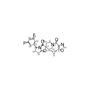 O=C(c1ncoc1C1CC1)N1CCC2(CC1)OC1CCC(c3cc(F)cc(F)c3)N1C2=O